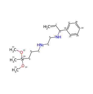 C=CC(NCCNCCC[Si](C)(OC)OC)c1ccccc1